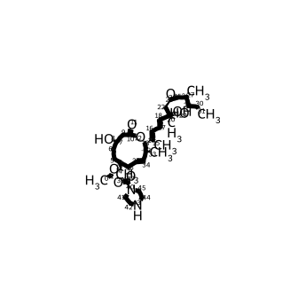 CCO[C@]1(C)CC[C@@H](O)CC(=O)O[C@H](/C(C)=C/C=C/[C@](C)(O)C[C@H]2O[C@@H]2[C@H](C)[C@@H](O)CC)[C@@H](C)/C=C/[C@@H]1OC(=O)N1CCNCC1